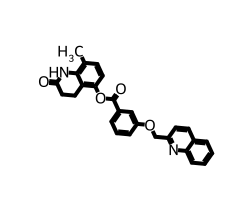 Cc1ccc(OC(=O)c2cccc(OCc3ccc4ccccc4n3)c2)c2c1NC(=O)CC2